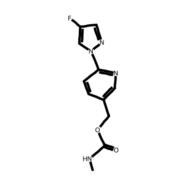 CNC(=O)OCc1ccc(-n2cc(F)cn2)nc1